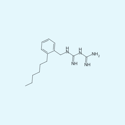 CCCCCCc1ccccc1CNC(=N)NC(=N)N